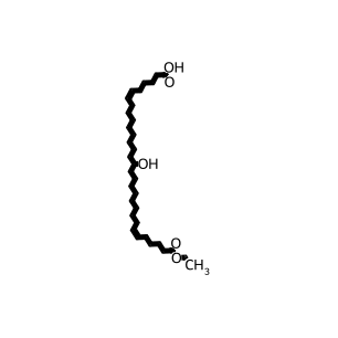 CCOC(=O)CCCC/C=C\CCCCCCCCC(O)CCCCCCCC/C=C\CCCCC(=O)O